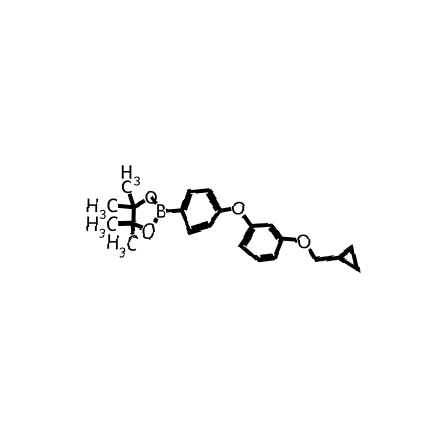 CC1(C)OB(c2ccc(Oc3cccc(OCC4CC4)c3)cc2)OC1(C)C